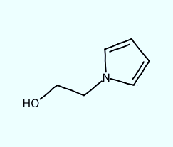 OCCn1[c]ccc1